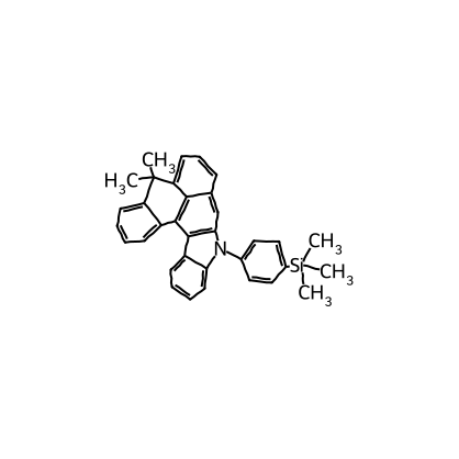 CC1(C)c2ccccc2-c2c3c1cccc3cc1c2c2ccccc2n1-c1ccc([Si](C)(C)C)cc1